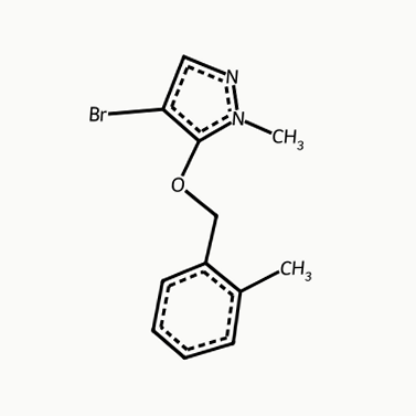 Cc1ccccc1COc1c(Br)cnn1C